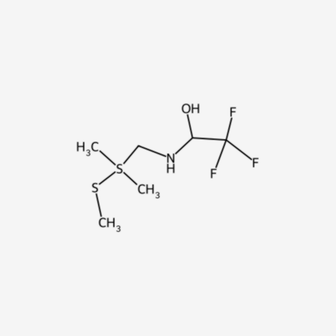 CSS(C)(C)CNC(O)C(F)(F)F